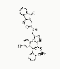 CCCSCc1nnc(CNC(=O)CN2C(=O)c3ccccc3C2=O)n1-c1ccc(Cl)cc1C(=O)c1ccccc1Cl